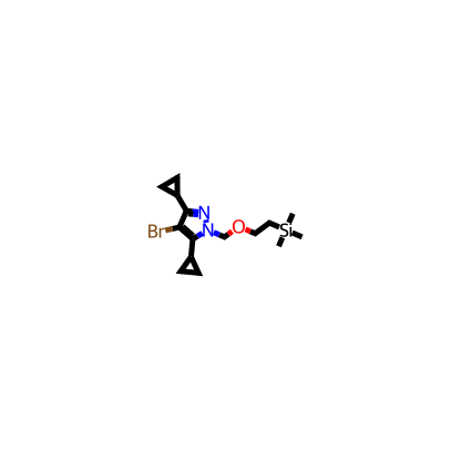 C[Si](C)(C)CCOCn1nc(C2CC2)c(Br)c1C1CC1